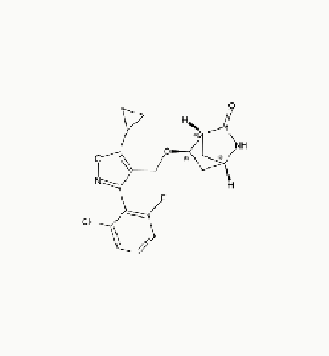 O=C1N[C@@H]2C[C@@H](OCc3c(-c4c(F)cccc4Cl)noc3C3CC3)[C@H]1C2